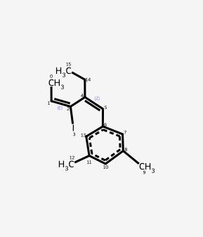 C/C=C(I)\C(=C/c1cc(C)cc(C)c1)CC